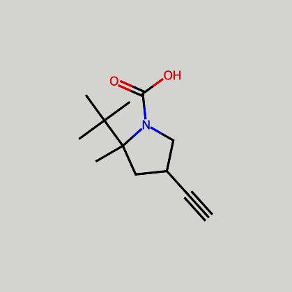 C#CC1CN(C(=O)O)C(C)(C(C)(C)C)C1